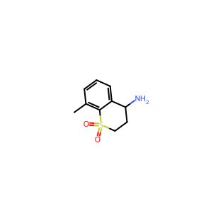 Cc1cccc2c1S(=O)(=O)CCC2N